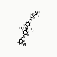 CC(C)(c1ccc(OCCCNC(=O)O)cc1)c1ccc(OCc2ccnc(Cl)n2)cc1